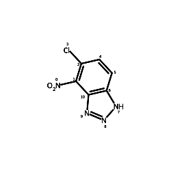 O=[N+]([O-])c1c(Cl)ccc2[nH]nnc12